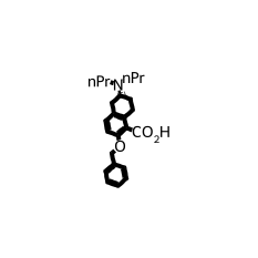 CCCN(CCC)[C@H]1CCc2c(ccc(OCc3ccccc3)c2C(=O)O)C1